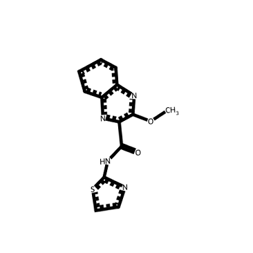 COc1nc2ccccc2nc1C(=O)Nc1nccs1